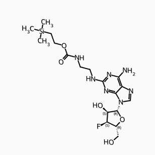 C[Si](C)(C)CCOC(=O)NCCNc1nc(N)c2ncn([C@@H]3O[C@H](CO)[C@@H](F)[C@H]3O)c2n1